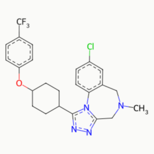 CN1Cc2cc(Cl)ccc2-n2c(nnc2C2CCC(Oc3ccc(C(F)(F)F)cc3)CC2)C1